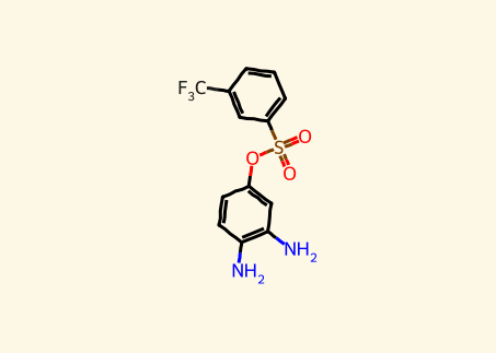 Nc1ccc(OS(=O)(=O)c2cccc(C(F)(F)F)c2)cc1N